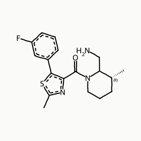 Cc1nc(C(=O)N2CCC[C@@H](C)C2CN)c(-c2cccc(F)c2)s1